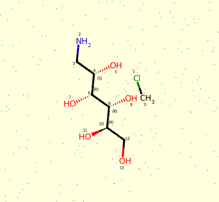 CCl.NC[C@H](O)[C@@H](O)[C@H](O)[C@H](O)CO